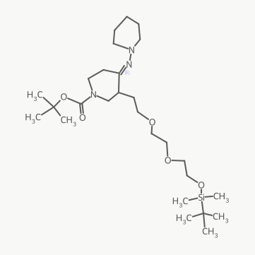 CC(C)(C)OC(=O)N1CC/C(=N\N2CCCCC2)C(CCOCCOCCO[Si](C)(C)C(C)(C)C)C1